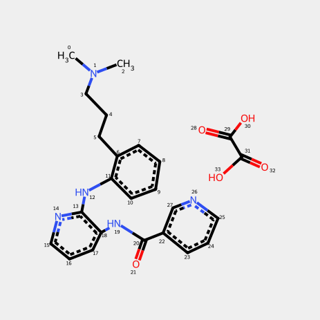 CN(C)CCCc1ccccc1Nc1ncccc1NC(=O)c1cccnc1.O=C(O)C(=O)O